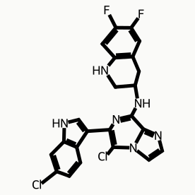 Fc1cc2c(cc1F)NCC(Nc1nc(-c3c[nH]c4cc(Cl)ccc34)c(Cl)n3ccnc13)C2